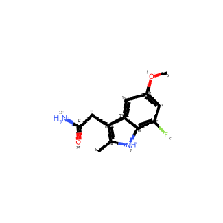 COc1cc(F)c2[nH]c(C)c(CC(N)=O)c2c1